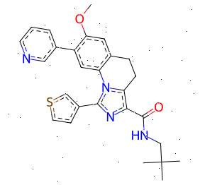 COc1cc2c(cc1-c1cccnc1)-n1c(-c3ccsc3)nc(C(=O)NCC(C)(C)C)c1CC2